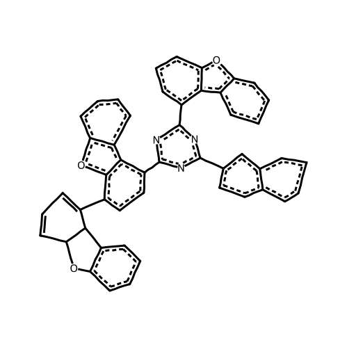 C1=CC2Oc3ccccc3C2C(c2ccc(-c3nc(-c4ccc5ccccc5c4)nc(-c4cccc5oc6ccccc6c45)n3)c3c2oc2ccccc23)=C1